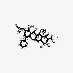 CCC1C(O)=C(C(N)=O)C(C)(O)C2C(O)=C3C(=O)c4c(O)c(C[S+](C)[O-])cc(-c5ccccn5)c4CC3CC12